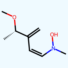 C=C(/C=C\N(C)O)[C@H](C)OC